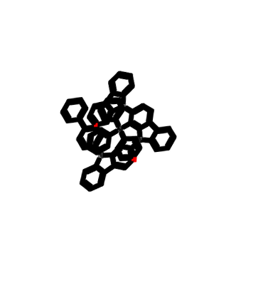 c1ccc(-c2ccc(-n3c4ccccc4c4ccc(-n5c6ccccc6c6ccc(-n7c8ccccc8c8ccccc87)c([Si](c7ccccc7)(c7ccccc7)c7ccccc7)c65)cc43)cc2)cc1